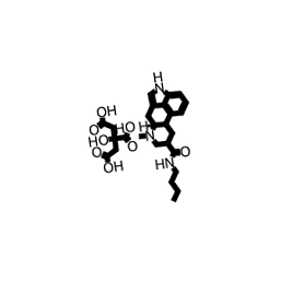 CCCCNC(=O)C1CC2c3cccc4[nH]cc(c34)C[C@H]2N(C)C1.O=C(O)CC(O)(CC(=O)O)C(=O)O